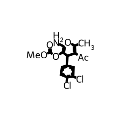 COC(=O)OC1=C(N)OC(C)=C(C(C)=O)C1c1ccc(Cl)c(Cl)c1